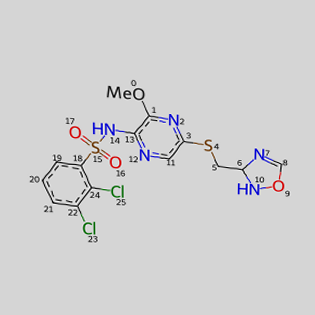 COc1nc(SCC2N=CON2)cnc1NS(=O)(=O)c1cccc(Cl)c1Cl